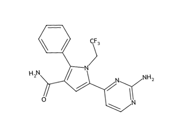 NC(=O)c1cc(-c2ccnc(N)n2)n(CC(F)(F)F)c1-c1ccccc1